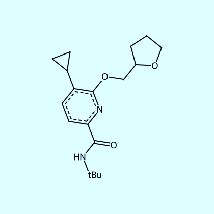 CC(C)(C)NC(=O)c1ccc(C2CC2)c(OCC2CCCO2)n1